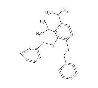 CC(C)c1c[c]c(SCc2ccccc2)c(SCc2ccccc2)c1C(C)C